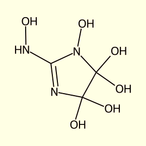 ONC1=NC(O)(O)C(O)(O)N1O